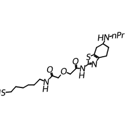 CCCNC1CCc2nc(NC(=O)COCC(=O)NCCCCCCS)sc2C1